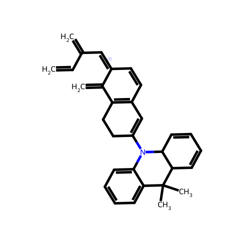 C=CC(=C)/C=c1/ccc2c(c1=C)CCC(N1c3ccccc3C(C)(C)C3C=CC=CC31)=C2